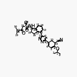 CC(C)OC1=CC=C(c2nnc(-c3cccc4c3CCC4NS(=O)(=O)CC(=O)N(C)C)s2)CC1C#N